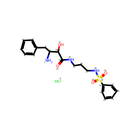 Cl.NC(Cc1ccccc1)C(O)C(=O)NCCCNS(=O)(=O)c1ccccc1